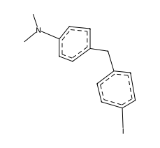 CN(C)c1ccc(Cc2ccc(I)cc2)cc1